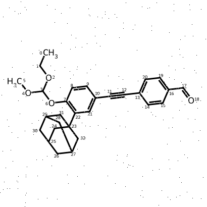 CCOC(OC)Oc1ccc(C#Cc2ccc([C]=O)cc2)cc1C12CC3CC(CC(C3)C1)C2